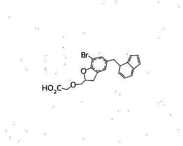 O=C(O)COCC1Cc2cc(CC3C=CC=C4C=CC=C43)cc(Br)c2O1